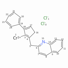 [Cl-].[Cl-].[Cr+2][C]1=C(Cc2ccc3ccccc3n2)CC=C1c1ccccc1